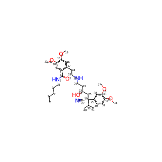 CCCCCNC(=O)c1cc(OC)c(OC)cc1CCNCCC(O)CC(C#N)(c1ccc(OC)c(OC)c1)C(C)C